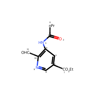 CCCC(=O)Nc1cc(C(=O)OCC)cnc1C=O